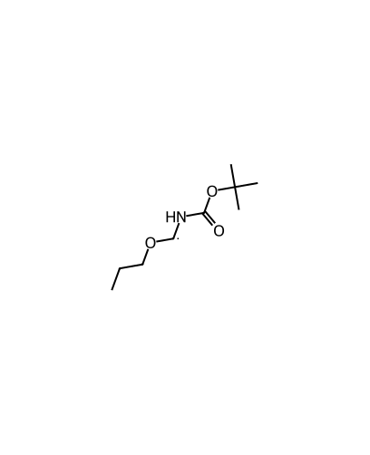 CCCO[CH]NC(=O)OC(C)(C)C